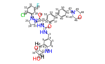 O=C(NCc1ccc2c(c1)[C@H]1C[C@@H](N2)[C@H](O)CO1)N[C@H](C(=O)N1CCCN1c1cc(F)ccc1Cl)c1ccc(-c2ccc(CN3CCOCC3)cc2)cc1